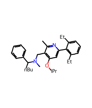 CCCCC(c1ccccc1)N(C)Cc1c(OC(C)C)cc(-c2c(CC)cccc2CC)nc1C